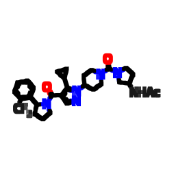 CC(=O)NC1CCN(C(=O)N2CCC(n3ncc(C(=O)N4CCCC4c4ccccc4C(F)(F)F)c3C3CC3)CC2)C1